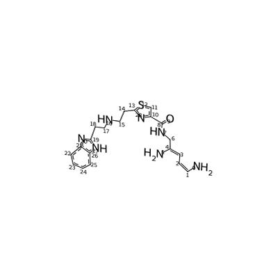 N/C=C\C=C(/N)CNC(=O)c1csc(CCNCCc2nc3ccccc3[nH]2)n1